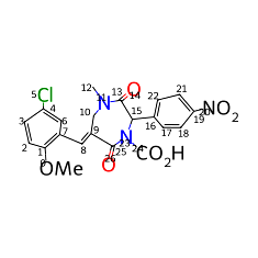 COc1ccc(Cl)cc1C=C1CN(C)C(=O)C(c2ccc([N+](=O)[O-])cc2)N(C(=O)O)C1=O